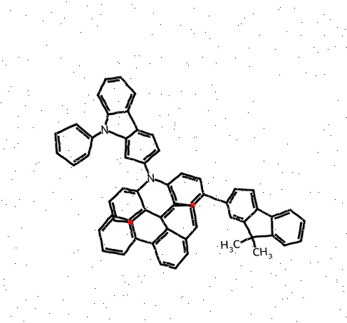 CC1(C)c2ccccc2-c2ccc(-c3ccc(N(c4ccc5c6ccccc6n(-c6ccccc6)c5c4)c4ccccc4-c4cccc5cccc(-c6ccccc6)c45)cc3)cc21